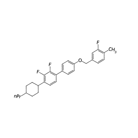 CCCC1CCC(c2ccc(-c3ccc(OCc4ccc(C)c(F)c4)cc3)c(F)c2F)CC1